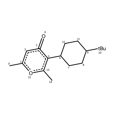 Cc1cc(=O)c(C2CCC(C(C)(C)C)CC2)c(C)o1